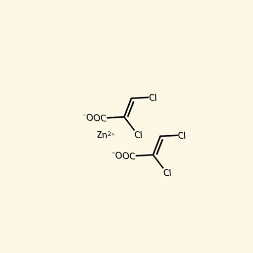 O=C([O-])/C(Cl)=C/Cl.O=C([O-])/C(Cl)=C/Cl.[Zn+2]